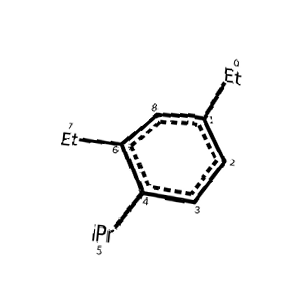 CCc1ccc(C(C)C)c(CC)c1